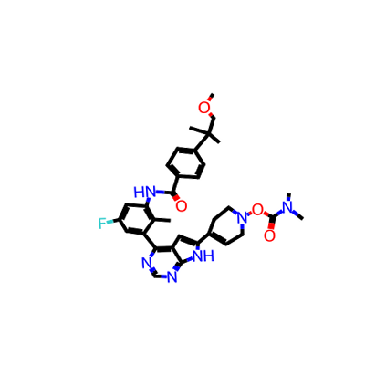 COCC(C)(C)c1ccc(C(=O)Nc2cc(F)cc(-c3ncnc4[nH]c(C5=CCN(OC(=O)N(C)C)CC5)cc34)c2C)cc1